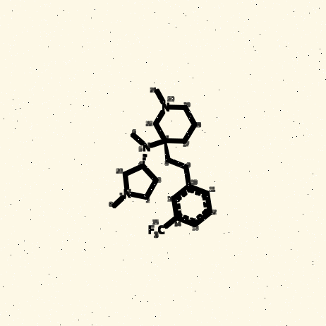 CN1CC[C@@H](N(C)[C@@]2(CCc3cccc(C(F)(F)F)c3)CCCN(C)C2)C1